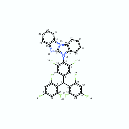 Fc1cc(F)c(C(c2cc(F)c(-n3c4ccccc4n4c5ccccc5nc34)c(F)c2)c2c(F)cc(F)cc2F)c(F)c1